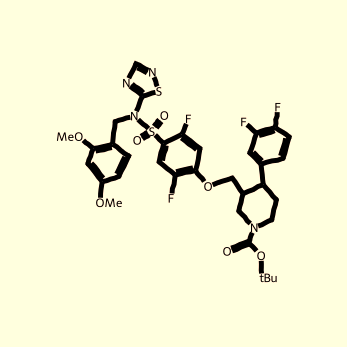 COc1ccc(CN(c2ncns2)S(=O)(=O)c2cc(F)c(OCC3CN(C(=O)OC(C)(C)C)CCC3c3ccc(F)c(F)c3)cc2F)c(OC)c1